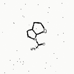 CC(C)C(=O)N1CCC2CCOC21